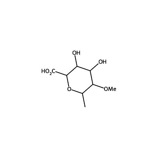 COC1C(C)OC(C(=O)O)C(O)C1O